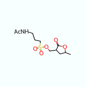 CC(=O)NCCCS(=O)(=O)OCC1CC(C)OC1=O